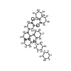 c1ccc(-c2ccc(N(c3ccccc3)c3ccccc3-c3ccccc3-c3ccc4c(c3)Oc3cccc5cccc(c35)O4)cc2)cc1